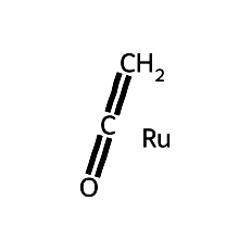 C=C=O.[Ru]